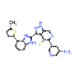 Cc1ccc(-c2cccc3[nH]c(-c4n[nH]c5cnc(-c6cncc(N)c6)c(F)c45)nc23)s1